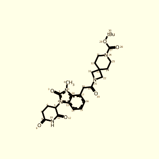 Cn1c(=O)n(C2CCC(=O)NC2=O)c2cccc(CC(=O)N3CC4(CCN(C(=O)OC(C)(C)C)CC4)C3)c21